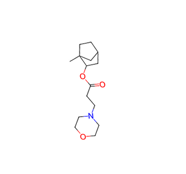 CC12CCC(CC1OC(=O)CCN1CCOCC1)C2